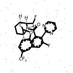 O=C(c1cccc(F)c1-c1ncccn1)N1[C@H](CF)[C@@H]2CC[C@H]1[C@H](Oc1ccc(C(F)(F)F)cn1)C2